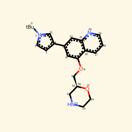 CC(C)(C)n1ccc(-c2cc(OC[C@@H]3CNCCO3)c3cccnc3c2)c1